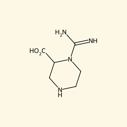 N=C(N)N1CCNCC1C(=O)O